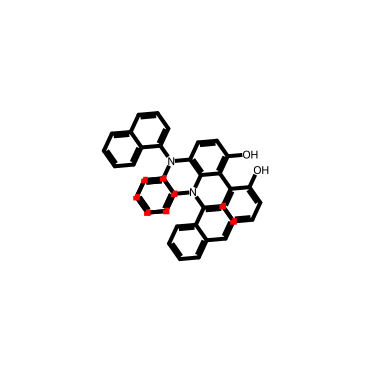 Oc1ccccc1-c1c(O)ccc(N(c2ccccc2)c2cccc3ccccc23)c1N(c1ccccc1)c1cccc2ccccc12